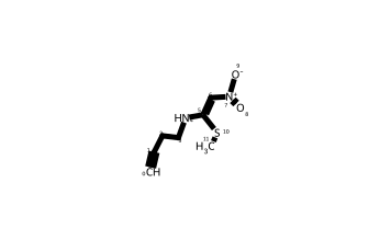 C#CCCN/C(=C/[N+](=O)[O-])SC